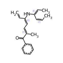 C=C/C(=C\C=C(/C)C(=O)c1ccccc1)NC(/C=C\C)=C/C